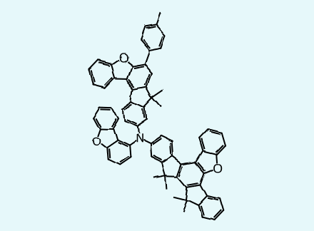 Cc1ccc(-c2cc3c(c4c2oc2ccccc24)-c2ccc(N(c4ccc5c(c4)C(C)(C)c4c6c(c7oc8ccccc8c7c4-5)-c4ccccc4C6(C)C)c4cccc5oc6ccccc6c45)cc2C3(C)C)cc1